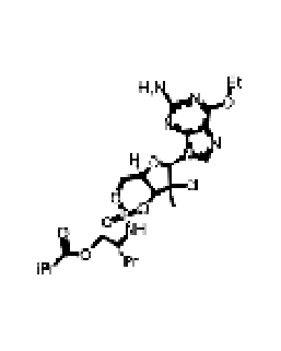 CCOc1nc(N)nc2c1ncn2[C@@H]1O[C@@H]2CO[P@@](=O)(N[C@@H](COC(=O)C(C)C)C(C)C)OC2[C@@]1(C)Cl